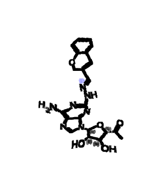 CC(=O)[C@H]1O[C@@H](n2cnc3c(N)nc(N/N=C/C4=Cc5ccccc5OC4)nc32)[C@H](O)[C@@H]1O